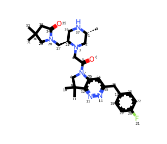 C[C@@H]1CN(CC(=O)N2CC(C)(C)c3nnc(Cc4ccc(F)cc4)cc32)[C@@H](CN2CC(C)(C)CC2=O)CN1